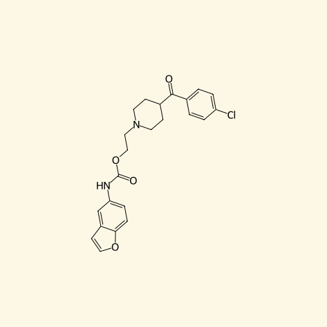 O=C(Nc1ccc2occc2c1)OCCN1CCC(C(=O)c2ccc(Cl)cc2)CC1